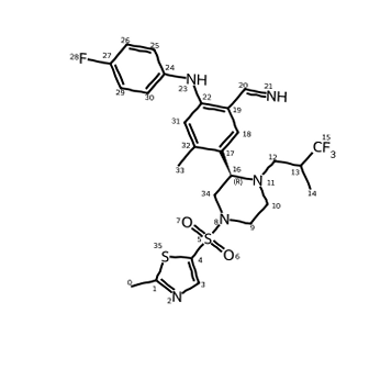 Cc1ncc(S(=O)(=O)N2CCN(CC(C)C(F)(F)F)[C@H](c3cc(C=N)c(Nc4ccc(F)cc4)cc3C)C2)s1